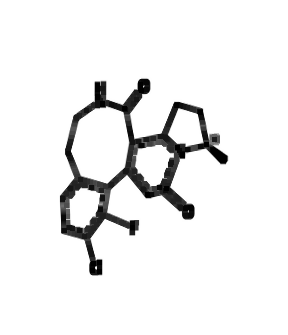 C[C@@H]1CCc2c3c(cc(=O)n21)-c1c(ccc(Cl)c1F)CCNC3=O